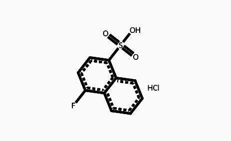 Cl.O=S(=O)(O)c1ccc(F)c2ccccc12